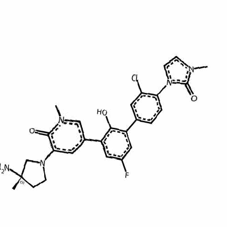 Cn1cc(-c2cc(F)cc(-c3ccc(-n4ccn(C)c4=O)c(Cl)c3)c2O)cc(N2CC[C@](C)(N)C2)c1=O